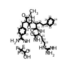 CNC(=O)C(Cc1ccc(C(=N)N)cc1)C(=O)NC(CCc1ccccc1)C(=O)N[C@@H](CCCNC(=N)N)C(N)=O.O=C(O)C(F)(F)F